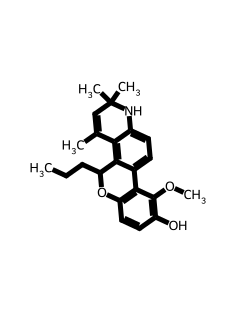 CCCC1Oc2ccc(O)c(OC)c2-c2ccc3c(c21)C(C)=CC(C)(C)N3